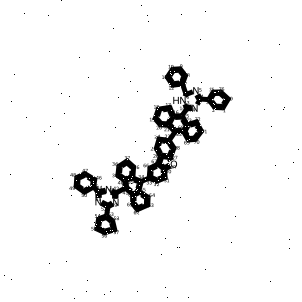 c1ccc(C2=NC(c3ccccc3)NC(c3c4ccccc4c(-c4ccc5c(c4)oc4ccc(-c6c7ccccc7c(-c7nc(-c8ccccc8)nc(-c8ccccc8)n7)c7ccccc67)cc45)c4ccccc34)=N2)cc1